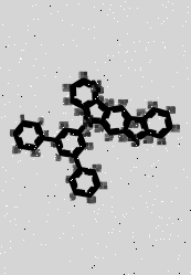 c1ccc(-c2cc(-c3ccccc3)cc(-n3c4cc5sc6ccccc6c5cc4c4ncccc43)c2)cc1